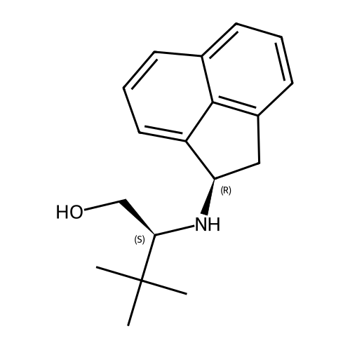 CC(C)(C)[C@@H](CO)N[C@@H]1Cc2cccc3cccc1c23